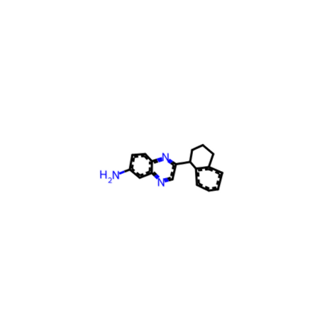 Nc1ccc2nc(C3CCCc4ccccc43)cnc2c1